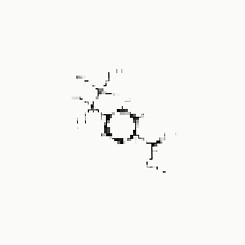 COC(=O)c1ccc(C(C)(O)C(F)(F)F)cc1